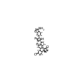 Nc1noc2cc(-c3[nH]c([C@@H]4CCc5nc(-c6cc(Cl)ccc6-n6cc(Cl)nn6)cc(=O)n54)nc3F)ccc12